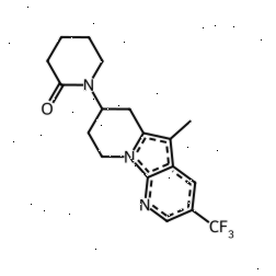 Cc1c2n(c3ncc(C(F)(F)F)cc13)CCC(N1CCCCC1=O)C2